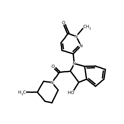 CC1CCCN(C(=O)C2C(O)c3ccccc3N2c2ccc(=O)n(C)n2)C1